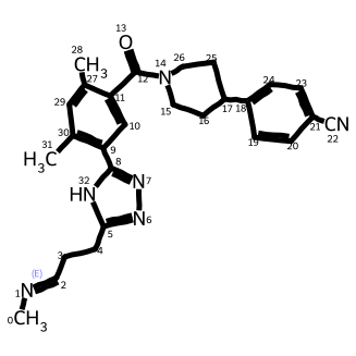 C/N=C/CCc1nnc(-c2cc(C(=O)N3CCC(c4ccc(C#N)cc4)CC3)c(C)cc2C)[nH]1